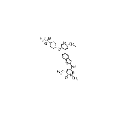 Cc1cc(-c2ccn3nc(Nc4cc(C)c(=O)n(C)n4)cc3c2)c(O[C@H]2CC[C@H](S(C)(=O)=O)CC2)cn1